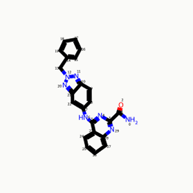 NC(=O)c1nc(Nc2ccc3nn(Cc4ccccc4)nc3c2)c2c[c]ccc2n1